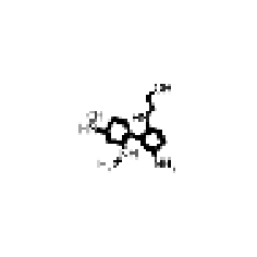 CNc1ccc(-c2cc(N)ccc2NCCO)c(NC)c1